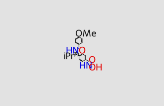 COc1ccc(C(=O)N[C@@H](c2ccc(C(=O)NO)cc2)C(C)C)cc1